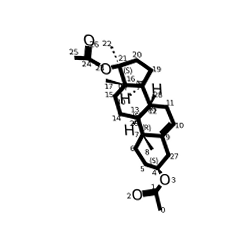 CC(=O)O[C@H]1CC[C@@]2(C)C(=CC[C@@H]3[C@@H]2CC[C@@]2(C)[C@H]3CC[C@]2(C)OC(C)=O)C1